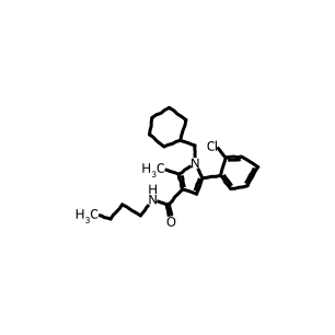 CCCCNC(=O)c1cc(-c2ccccc2Cl)n(CC2CCCCC2)c1C